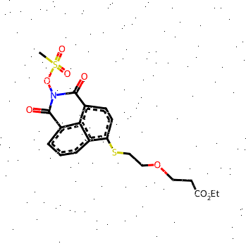 CCOC(=O)CCOCCSc1ccc2c3c(cccc13)C(=O)N(OS(C)(=O)=O)C2=O